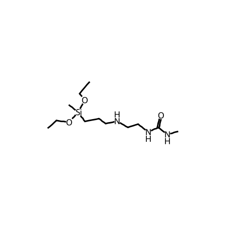 CCO[Si](C)(CCCNCCNC(=O)NC)OCC